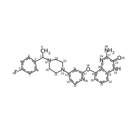 CC(c1ccc(F)cc1)N1CCN(c2ccnc(Oc3cccc4[nH]c(=O)c(N)nc34)c2)CC1